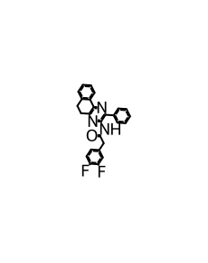 O=C(Cc1ccc(F)c(F)c1)Nc1nc2c(nc1-c1ccccc1)-c1ccccc1CC2